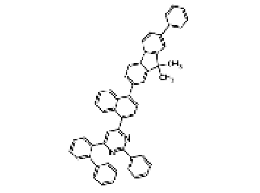 CC1(C)c2cc(-c3ccccc3)ccc2-c2ccc(-c3ccc(-c4cc(-c5ccccc5-c5ccccc5)nc(-c5ccccc5)n4)c4ccccc34)cc21